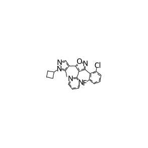 Cc1c(-c2onc(-c3c(F)cccc3Cl)c2-c2ncccn2)cnn1C1CCC1